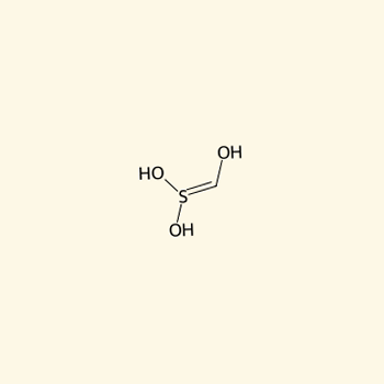 OC=S(O)O